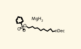 CCCCCCCCCCCCCCCCCCCOS(=O)(=O)c1ccccc1.[MgH2]